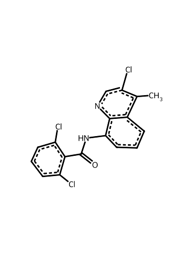 Cc1c(Cl)cnc2c(NC(=O)c3c(Cl)cccc3Cl)cccc12